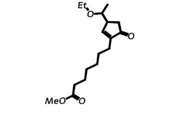 CCOC(C)C1C=C(CCCCCCC(=O)OC)C(=O)C1